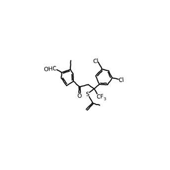 C=C(C)SC(CC(=O)c1ccc(C=O)c(C)c1)(c1cc(Cl)cc(Cl)c1)C(F)(F)F